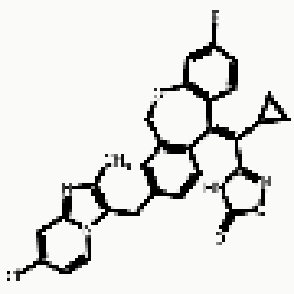 Cc1nc2cc(Cl)ccn2c1Cc1ccc2c(c1)COc1cc(F)ccc1/C2=C(/c1noc(=O)[nH]1)C1CC1